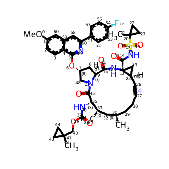 COc1ccc2c(O[C@@H]3C[C@H]4C(=O)N[C@]5(C(=O)NS(=O)(=O)C6(C)CC6)C[C@H]5/C=C\CC[C@@H](C)C[C@@H](C)[C@H](NC(=O)OCC5(C)CC5)C(=O)N4C3)nc(-c3ccc(F)cc3)cc2c1